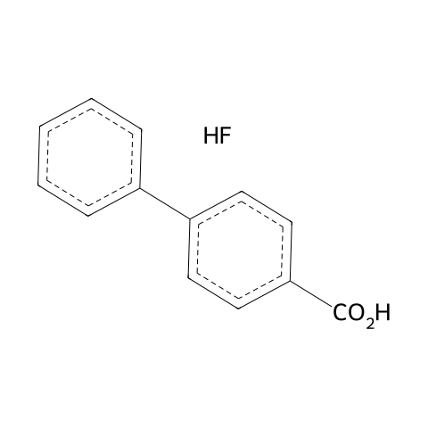 F.O=C(O)c1ccc(-c2ccccc2)cc1